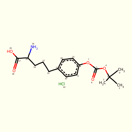 CC(C)(C)OC(=O)Oc1ccc(CCCC(N)C(=O)O)cc1.Cl